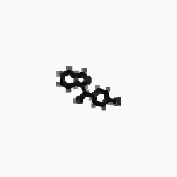 O=C(c1ccc(Cl)cc1)c1occ2ccccc12